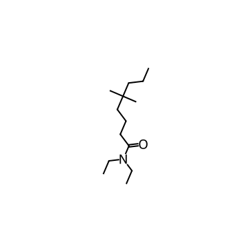 CCCC(C)(C)CCCC(=O)N(CC)CC